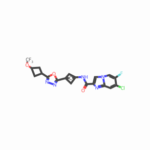 O=C(NC12CC(c3nnc(C4CC(OC(F)(F)F)C4)o3)(C1)C2)c1cn2cc(F)c(Cl)cc2n1